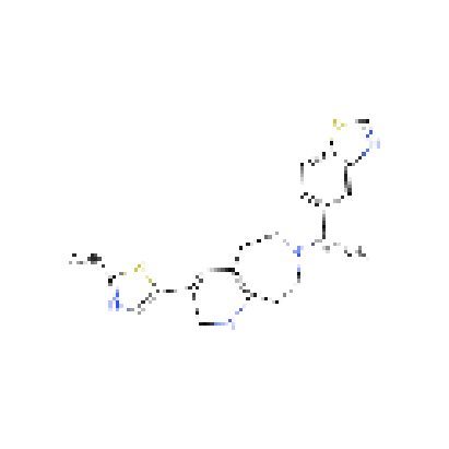 CC(=O)Nc1ncc(-c2cnc3c(c2)CCN([C@@H](C)c2ccc4scnc4c2)CC3)s1